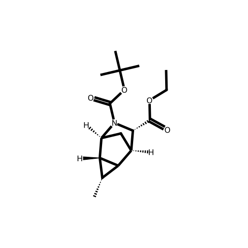 CCOC(=O)[C@@H]1[C@@H]2C[C@@H]([C@@H]3C2[C@@H]3C)N1C(=O)OC(C)(C)C